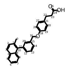 Cc1ccc2ccccc2c1-c1cccc(COc2ccc(CCC(=O)O)cc2)c1